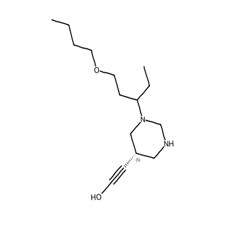 CCCCOCCC(CC)N1CNC[C@H](C#CO)C1